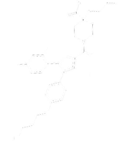 Cl.NC(=O)C1(NCCC(F)(F)F)CCN(C(=O)c2cc(-c3ccc(OCCCO)cc3)c(-c3ccc(F)cc3Cl)s2)CC1